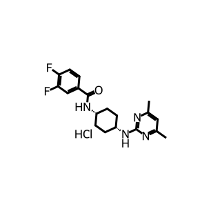 Cc1cc(C)nc(N[C@H]2CC[C@@H](NC(=O)c3ccc(F)c(F)c3)CC2)n1.Cl